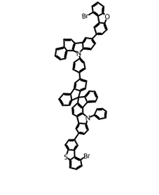 Brc1cccc2oc3ccc(-c4ccc5c(c4)c4ccc6ccccc6c4n5-c4ccc(-c5ccc6c(c5)-c5ccccc5C65c6ccccc6-c6c5ccc5c7cc(-c8ccc9sc%10cccc(Br)c%10c9c8)ccc7n(-c7ccccc7)c65)cc4)cc3c12